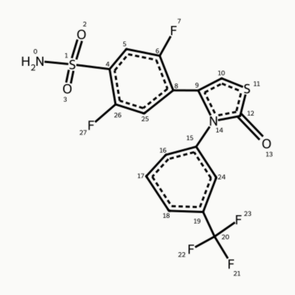 NS(=O)(=O)c1cc(F)c(-c2csc(=O)n2-c2cccc(C(F)(F)F)c2)cc1F